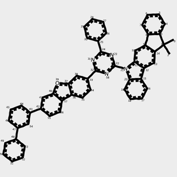 CC1(C)c2ccccc2-c2cc3c(cc21)c1ccccc1n3-c1nc(-c2ccccc2)nc(-c2ccc3c(c2)oc2cc(-c4cccc(-c5ccccc5)c4)ccc23)n1